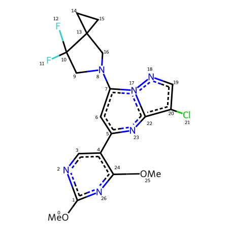 COc1ncc(-c2cc(N3CC(F)(F)C4(CC4)C3)n3ncc(Cl)c3n2)c(OC)n1